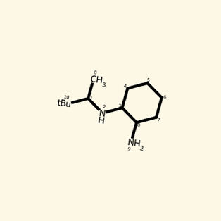 CC(NC1CCCCC1N)C(C)(C)C